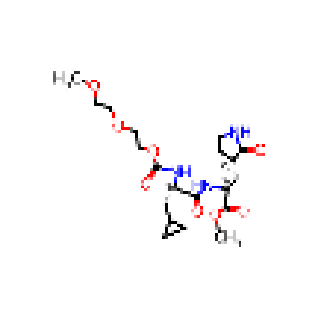 COCCOCCOC(=O)N[C@@H](CC1CC1)C(=O)N[C@@H](C[C@@H]1CCNC1=O)C(=O)OC